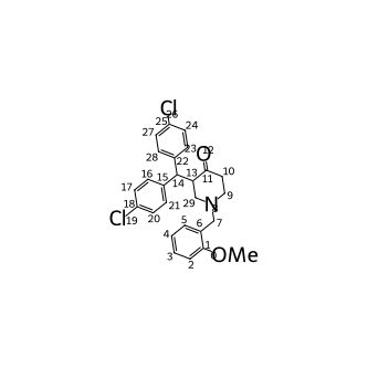 COc1ccccc1CN1CCC(=O)C(C(c2ccc(Cl)cc2)c2ccc(Cl)cc2)C1